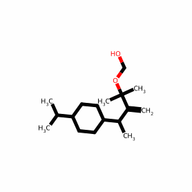 C=C(C(C)C1CCC(C(C)C)CC1)C(C)(C)OCO